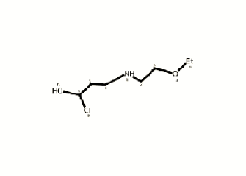 CCOCCNCCC(O)Cl